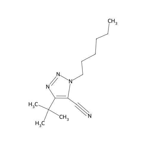 CCCCCCn1nnc(C(C)(C)C)c1C#N